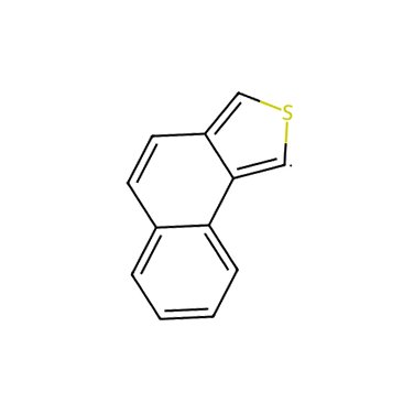 [c]1scc2ccc3ccccc3c12